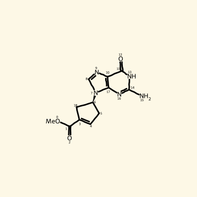 COC(=O)C1=CC[C@H](n2cnc3c(=O)[nH]c(N)nc32)C1